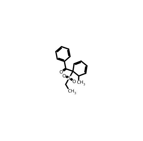 CCS(=O)(=O)C1(C(=O)c2ccccc2)C=CC=CC1C